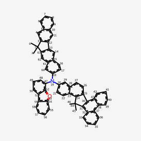 CC1(C)c2cc3ccccc3cc2-c2cc3ccc(N(c4ccc5c6c(ccc5c4)-c4c(c5ccccc5c5ccccc45)C6(C)C)c4cccc5c4oc4ccccc45)cc3cc21